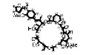 CCC1/C=C(\C)CC(C)CC(OC)C2OC(O)(C(=O)C(=O)N3CCCCC3C(=O)OC(C(C)=CC3CCC(N(C)c4ccco4)C(OC)C3)C(C)C(O)CC1=O)C(C)CC2OC